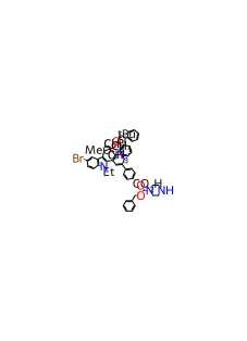 CCn1c(-c2cc(-c3ccc(C(=O)O)cc3)cnc2[C@H](C)OC)c(CC(C)(C)CO[Si](c2ccccc2)(c2ccccc2)C(C)(C)C)c2cc(Br)ccc21.O=C(OCc1ccccc1)N1CCNCC1